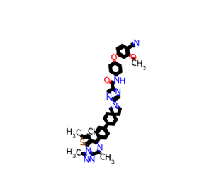 COc1cc(OC2CCC(NC(=O)c3cnc(N4CCC5(CCC(c6ccc(C7=N[C@@H](C)c8nnc(C)n8-c8sc(C)c(C)c87)cc6)CC5)C4)cn3)CC2)ccc1C#N